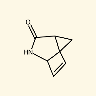 O=C1NC2C=CC23CC13